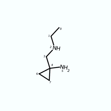 CCNCC1(N)CC1